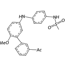 COc1ccc(Nc2ccc(NS(C)(=O)=O)cc2)cc1-c1cccc(C(C)=O)c1